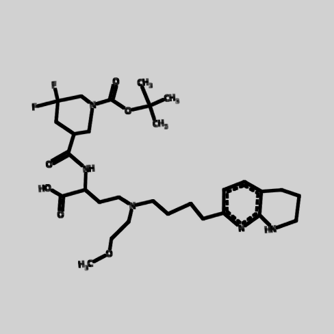 COCCN(CCCCc1ccc2c(n1)NCCC2)CCC(NC(=O)C1CN(C(=O)OC(C)(C)C)CC(F)(F)C1)C(=O)O